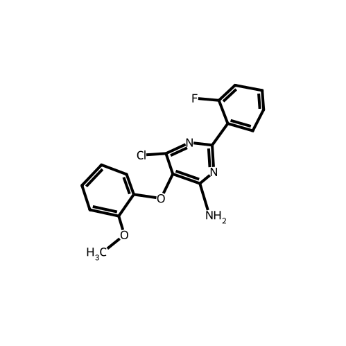 COc1ccccc1Oc1c(N)nc(-c2ccccc2F)nc1Cl